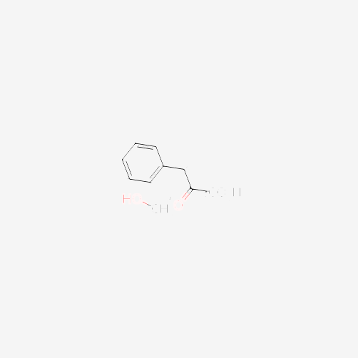 CO.O=C(O)C(=O)Cc1ccccc1